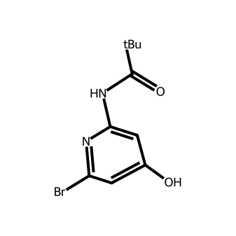 CC(C)(C)C(=O)Nc1cc(O)cc(Br)n1